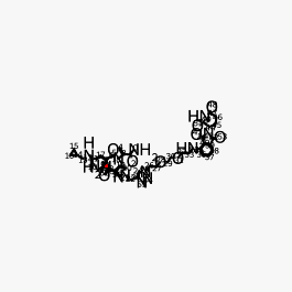 NC(=O)C1=COC(c2ccnc(NCC3CC3)c2)N1c1cn(Cc2cn(CCOCCOCCNc3cccc4c3C(=O)N(C3CCC(=O)NC3=O)C4=O)nn2)nc1C(N)=O